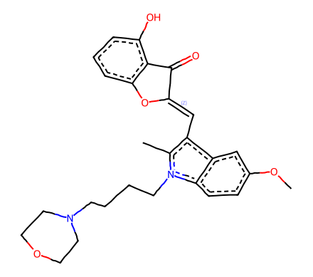 COc1ccc2c(c1)c(/C=C1\Oc3cccc(O)c3C1=O)c(C)n2CCCCN1CCOCC1